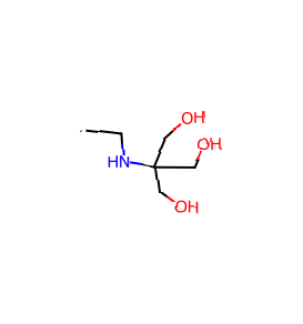 [CH2]CNC(CO)(CO)CO